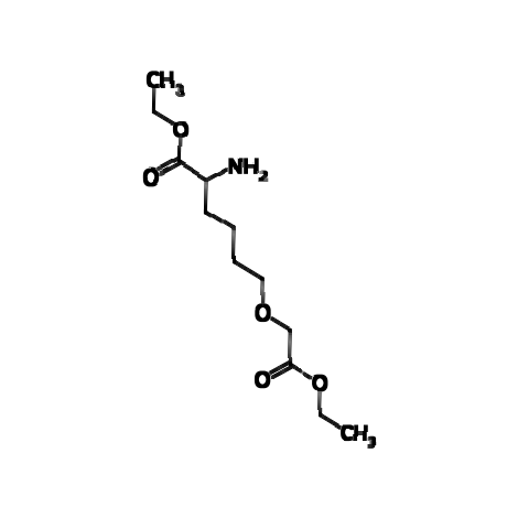 CCOC(=O)COCCCCC(N)C(=O)OCC